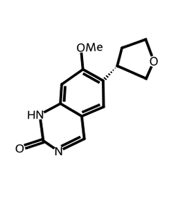 COc1cc2[nH]c(=O)ncc2cc1[C@@H]1CCOC1